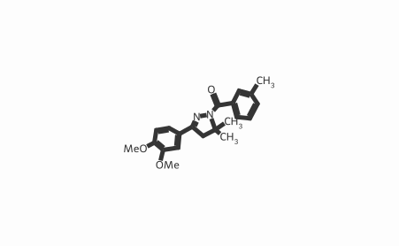 COc1ccc(C2=NN(C(=O)c3cccc(C)c3)C(C)(C)C2)cc1OC